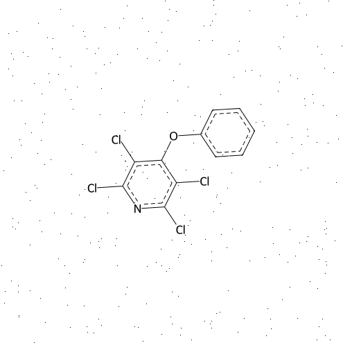 Clc1nc(Cl)c(Cl)c(Oc2ccccc2)c1Cl